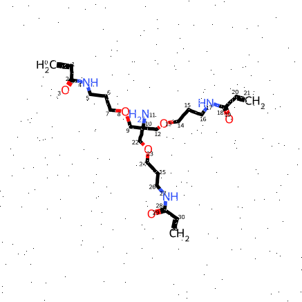 C=CC(=O)NCCCOCC(N)(COCCCNC(=O)C=C)COCCCNC(=O)C=C